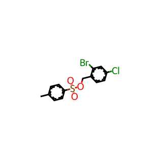 Cc1ccc(S(=O)(=O)OCc2ccc(Cl)cc2Br)cc1